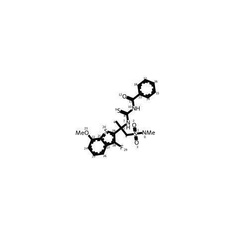 CNS(=O)(=O)CC(C)(NC(=S)NC(=O)c1ccccc1)c1sc2c(OC)cccc2c1F